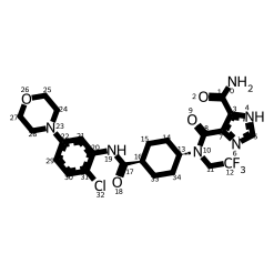 NC(=O)c1[nH]cnc1C(=O)N(CC(F)(F)F)[C@H]1CC[C@H](C(=O)Nc2cc(N3CCOCC3)ccc2Cl)CC1